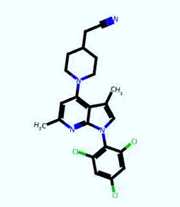 Cc1cc(N2CCC(CC#N)CC2)c2c(C)cn(-c3c(Cl)cc(Cl)cc3Cl)c2n1